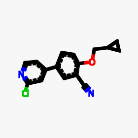 N#Cc1cc(-c2ccnc(Cl)c2)ccc1OCC1CC1